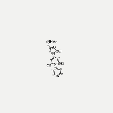 CC(=O)NCC1CN(c2cc(Cl)c(-c3ccncc3)c(Cl)c2)C(=O)O1